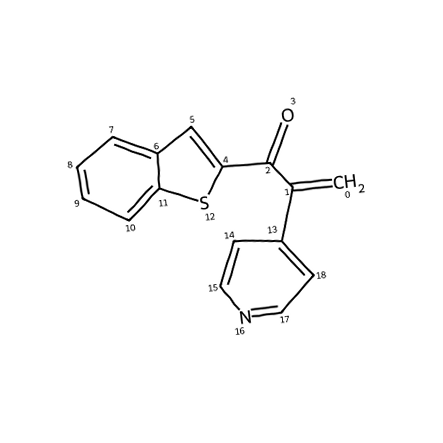 C=C(C(=O)c1cc2ccccc2s1)c1ccncc1